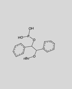 CCCCOC(c1ccccc1)C(OP(O)O)c1ccccc1